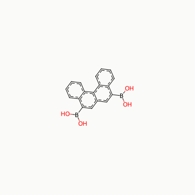 OB(O)c1cc2cc(B(O)O)c3ccccc3c2c2ccccc12